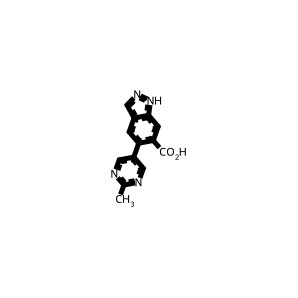 Cc1ncc(-c2cc3cn[nH]c3cc2C(=O)O)cn1